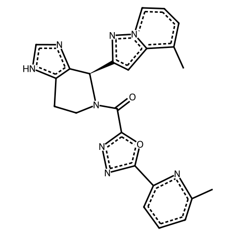 Cc1cccc(-c2nnc(C(=O)N3CCc4[nH]cnc4[C@H]3c3cc4c(C)cccn4n3)o2)n1